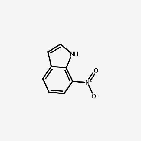 O=[N+]([O-])c1cccc2c[c][nH]c12